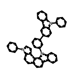 c1ccc(-n2ccc3c4c(ccc5c6ccccc6n(-c6cccc(-c7ccc8c(c7)c7ccccc7n8-c7ccccc7)c6)c54)ccc32)cc1